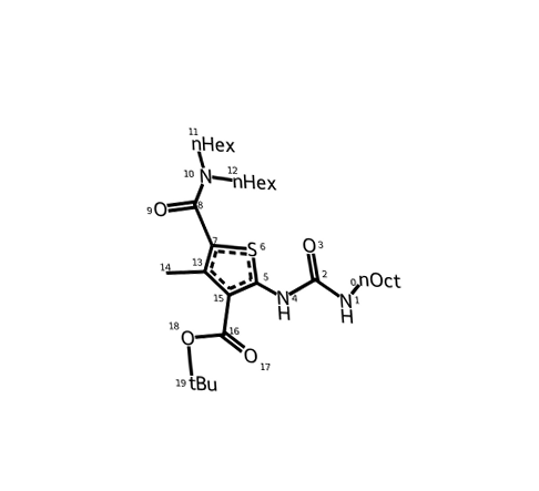 CCCCCCCCNC(=O)Nc1sc(C(=O)N(CCCCCC)CCCCCC)c(C)c1C(=O)OC(C)(C)C